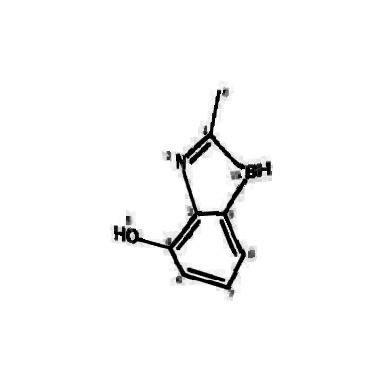 CC1=Nc2c(O)cccc2B1